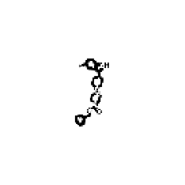 O=C(OCc1ccccc1)N1CCN(N2CCC(c3c[nH]c4ccc(F)cc34)CC2)CC1